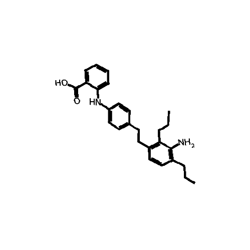 CCCc1ccc(CCc2ccc(Nc3ccccc3C(=O)O)cc2)c(CCC)c1N